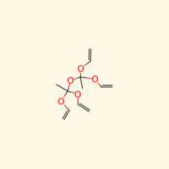 C=COC(C)(OC=C)OC(C)(OC=C)OC=C